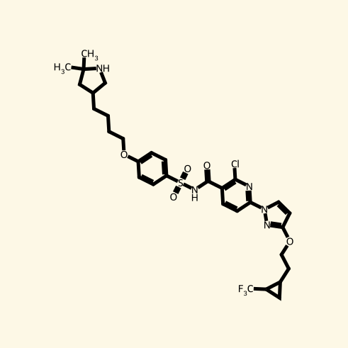 CC1(C)CC(CCCCOc2ccc(S(=O)(=O)NC(=O)c3ccc(-n4ccc(OCCC5CC5C(F)(F)F)n4)nc3Cl)cc2)CN1